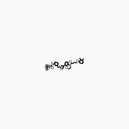 Cc1cccc(OCCCC(=O)N2CCCOc3c(-c4cnn(Cc5cccc(N(C)C(=O)NOS(C)(=O)=O)c5)c4)cccc32)c1C